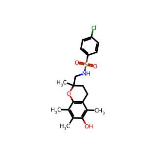 Cc1c(C)c2c(c(C)c1O)CCC(C)(CNS(=O)(=O)c1ccc(Cl)cc1)O2